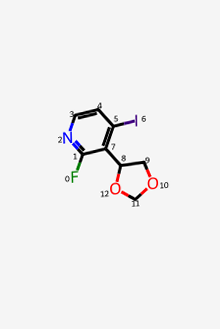 Fc1nccc(I)c1C1COCO1